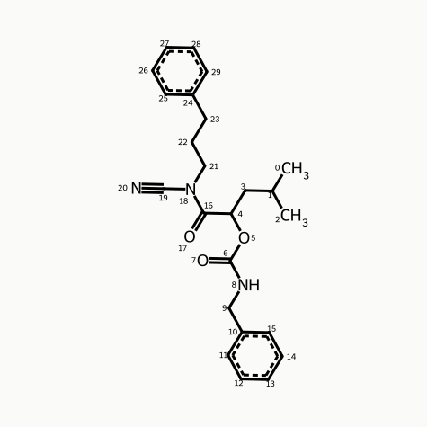 CC(C)CC(OC(=O)NCc1ccccc1)C(=O)N(C#N)CCCc1ccccc1